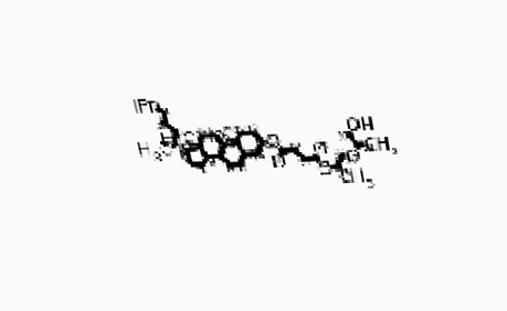 CC(C)CCCC(C)[C@H]1CCC2C3CC=C4C[C@@H](OC(=O)CCC(=O)OC(C)COC(C)CO)CC[C@]4(C)C3CC[C@@]21C